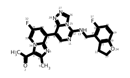 CC(=O)c1c(C)nc2c(-c3cnc(NCc4c(F)ccc5c4CCO5)n4cnnc34)cc(F)cn12